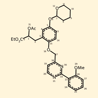 CCOC(=O)C(Cc1cc(OC2CCCCO2)ccc1OCc1ccnc(-c2ccccc2OC)n1)OC(C)=O